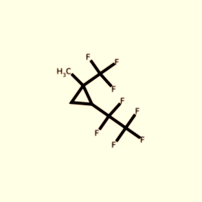 CC1(C(F)(F)F)CC1C(F)(F)C(F)(F)F